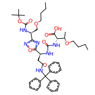 CCCCOC[C@H](NC(=O)OC(C)(C)C)c1noc([C@H](CC(=O)NC(c2ccccc2)(c2ccccc2)c2ccccc2)NC(=O)N[C@H](C(=O)O)C(C)OCCCC)n1